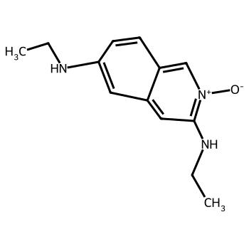 CCNc1ccc2c[n+]([O-])c(NCC)cc2c1